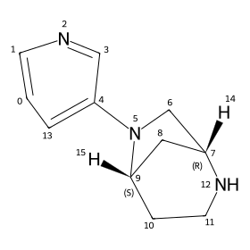 c1cncc(N2C[C@H]3C[C@@H]2CCN3)c1